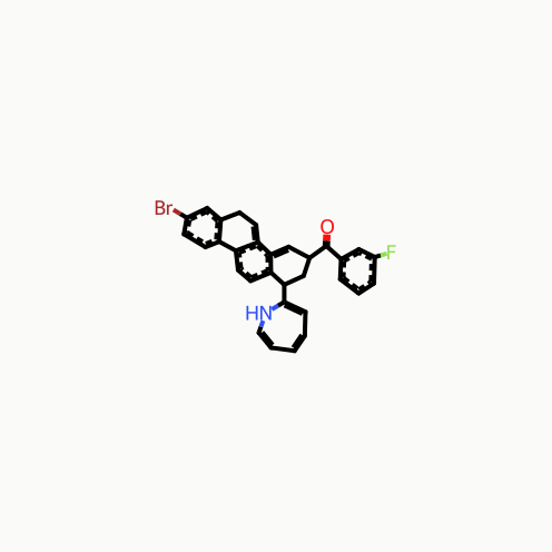 O=C(c1cccc(F)c1)C1C=c2c(ccc3c2=CCc2cc(Br)ccc2-3)C(C2=CC=CC=CN2)C1